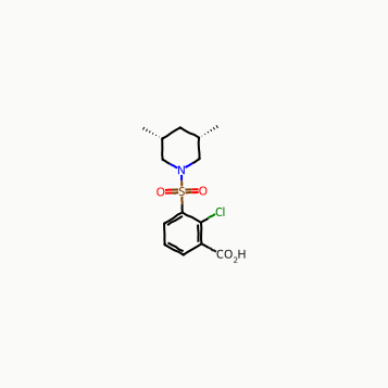 C[C@@H]1C[C@H](C)CN(S(=O)(=O)c2cccc(C(=O)O)c2Cl)C1